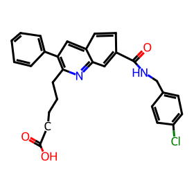 O=C(O)CCCCc1nc2cc(C(=O)NCc3ccc(Cl)cc3)ccc2cc1-c1ccccc1